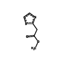 COC(=O)Cc1nccs1